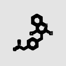 O=[SH](=O)Cc1ccc(Cc2c(Cl)nc3ccccc3c2Cl)cc1